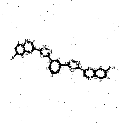 Fc1ccc2ncc(-c3nnc(-c4cccc(-c5nnc(-c6cnc7ccc(F)cc7n6)o5)c4)o3)nc2c1